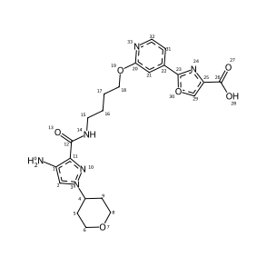 Nc1cn(C2CCOCC2)nc1C(=O)NCCCCOc1cc(-c2nc(C(=O)O)co2)ccn1